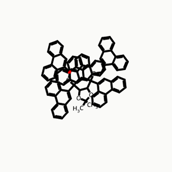 CC1(C)OC(C(OCc2cc3ccccc3c3ccccc23)(c2cc3ccccc3c3ccccc23)c2cc3ccccc3c3ccccc23)C(C(OCc2cc3ccccc3c3ccccc23)(c2cc3ccccc3c3ccccc23)c2cc3ccccc3c3ccccc23)O1